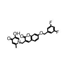 Cc1cc(=O)c(O)cn1Cc1cc2ccc(OCc3cc(F)cc(F)c3)cc2oc1=O